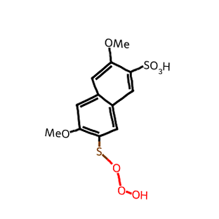 COc1cc2cc(OC)c(S(=O)(=O)O)cc2cc1SOOO